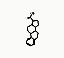 O=C(O)C1CCC2C1CCC1c3ccccc3CCC12